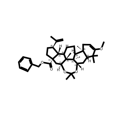 C=C(C)[C@@H]1CC[C@]2(C(=O)OCc3ccccc3)C[C@@H]3OC(C)(C)O[C@H]4C[C@H]5C(C)(C)C(OC)=CC[C@]5(C)[C@H]5CC[C@H]([C@@H]12)[C@]3(C)[C@]45C